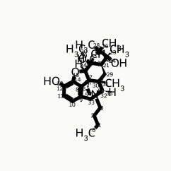 CCCCN1CC[C@]23c4c5ccc(O)c4O[C@H]2[C@](C)(OC)[C@@H]([C@](C)(O)C(C)(C)C)C[C@]3(C)[C@H]1C5